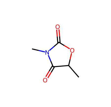 CC1OC(=O)N(C)C1=O